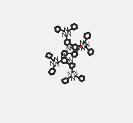 N#Cc1ccc(-n2c3ccc(-c4nc(-c5ccccc5)nc(-c5ccccc5)n4)cc3c3cc(-c4nc(-c5ccccc5)nc(-c5ccccc5)n4)ccc32)c(-c2cnccc2-n2c3ccc(-c4nc(-c5ccccc5)nc(-c5ccccc5)n4)cc3c3cc(-c4nc(-c5ccccc5)nc(-c5ccccc5)n4)ccc32)c1